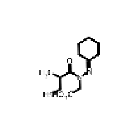 CC(CS)C(=O)N(CC(=O)O)N=C1CCCCC1